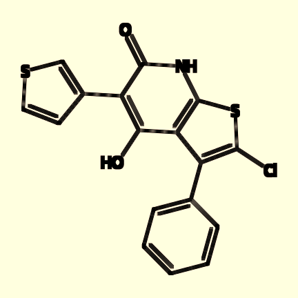 O=c1[nH]c2sc(Cl)c(-c3ccccc3)c2c(O)c1-c1ccsc1